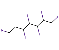 ICCC(I)C(I)C(I)C(I)CI